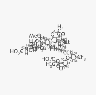 CC1COc2ccccc2N1C(=O)C(Cl)Cl.CCNc1nc(Cl)nc(NC(C)(C)C)n1.CCc1cccc(C)c1N(C(=O)CCl)C(C)COC.C[C@H](OC(=O)c1cc(Oc2ccc(C(F)(F)F)cc2Cl)ccc1Cl)C(=O)O.O=C(O)CNCP(=O)(O)O